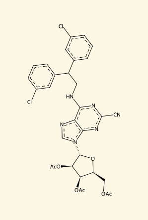 CC(=O)OC[C@@H]1O[C@@H](n2cnc3c(NCC(c4cccc(Cl)c4)c4cccc(Cl)c4)nc(C#N)nc32)[C@H](OC(C)=O)[C@@H]1OC(C)=O